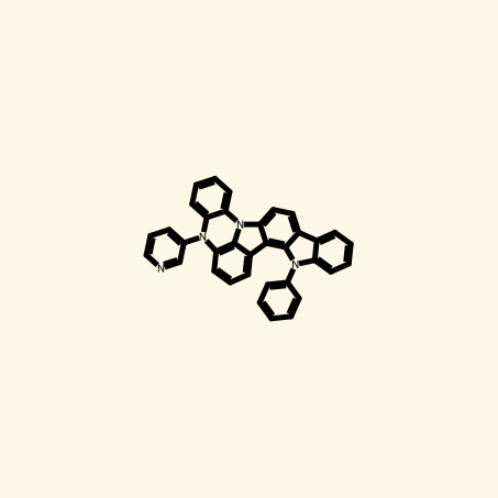 c1ccc(-n2c3ccccc3c3ccc4c(c5cccc6c5n4-c4ccccc4N6c4cccnc4)c32)cc1